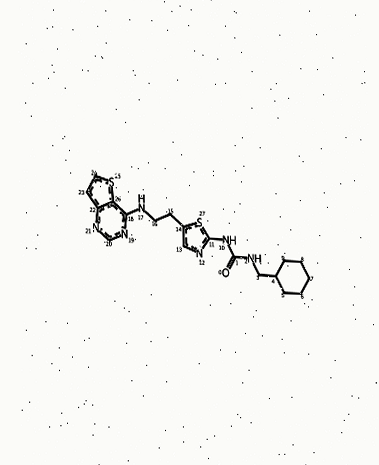 O=C(NCC1CCCCC1)Nc1ncc(CCNc2ncnc3ccsc23)s1